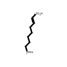 CCCCCCCCCCCC=CS(=O)(=O)O